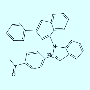 CC(=O)c1ccc(-[13c]2cc3ccccc3n2-c2cc(-c3ccccc3)cc3ccccc23)cc1